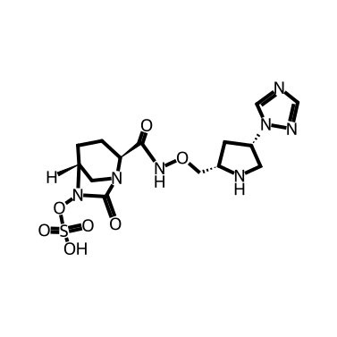 O=C(NOC[C@@H]1C[C@H](n2cncn2)CN1)[C@@H]1CC[C@@H]2CN1C(=O)N2OS(=O)(=O)O